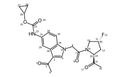 CC(=O)c1cn(CC(=O)N2C[C@H](F)C[C@H]2C(C)=O)c2ccc(NC(=O)OC3CC3)cc12